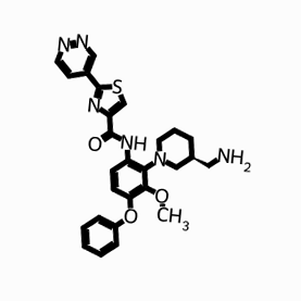 COc1c(Oc2ccccc2)ccc(NC(=O)c2csc(-c3ccnnc3)n2)c1N1CCC[C@@H](CN)C1